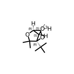 [3H]O[C@H]1[C@H]2OC(C)(C)[C@]1(C(C)(C)C)O[C@H]2C